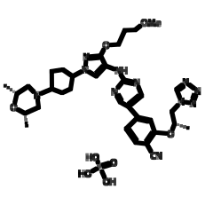 COCCCOc1nn(C2CCC(N3C[C@@H](C)O[C@@H](C)C3)CC2)cc1Nc1ncc(-c2ccc(C#N)c(O[C@@H](C)Cn3cnnn3)c2)cn1.O=P(O)(O)O